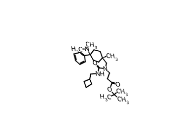 CN(C)[C@]1(c2ccccc2)CC[C@@](C)(CN(CCC(=O)OC(C)(C)C)C(=O)NCC2CCC2)CC1